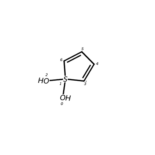 OS1(O)[C]=CC=C1